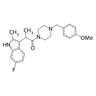 COc1ccc(CN2CCN(C(=O)C(C)c3c(C)[nH]c4cc(F)ccc34)CC2)cc1